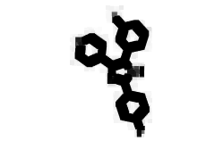 Fc1ccc(-c2nc(-c3ccncc3)c(-c3cccc(I)c3)[nH]2)cc1